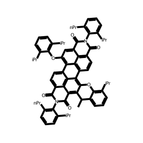 CCCc1cccc(C(C)C)c1N1C(=O)c2ccc3c4c5c(c6c7c(ccc(c8c(Oc9c(C(C)C)cccc9C(C)C)cc(c2c38)C1=O)c74)C(=O)N(c1c(CCC)cccc1C(C)C)C6=O)C(C)c1cccc(C(C)C)c1O5